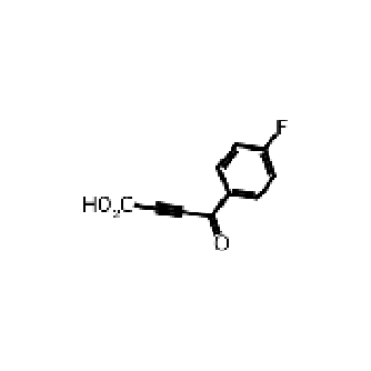 O=C(O)C#CC(=O)c1ccc(F)cc1